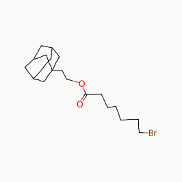 O=C(CCCCCCBr)OCCC12CC3CC(CC(C3)C1)C2